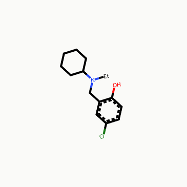 CCN(Cc1cc(Cl)ccc1O)C1CCCCC1